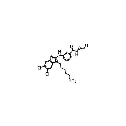 NCCCCCn1c(Nc2cccc(C(=O)NOC=O)c2)nc2cc(Cl)c(Cl)cc21